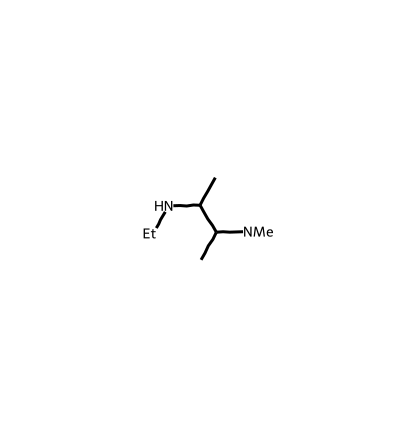 CCNC(C)C(C)NC